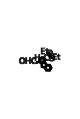 CCOC(C)OCC.O=CCc1cccc2c1Cc1ccccc1-2